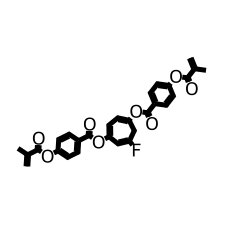 C=C(C)C(=O)Oc1ccc(C(=O)OC2=CC=C(OC(=O)c3ccc(OC(=O)C(=C)C)cc3)CC(F)=C2)cc1